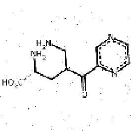 NCC(C[C@@H](N)C(=O)O)C(=O)c1cnccn1